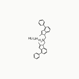 CC1=Cc2c(-c3ccccc3)cccc2C1C[SiH2]CC1C(C)=Cc2c(-c3ccccc3)cccc21.[LiH].[LiH]